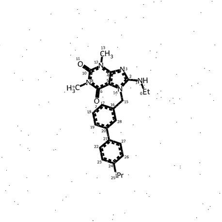 CCNc1nc2c(c(=O)n(C)c(=O)n2C)n1Cc1cccc(-c2ccc(C(C)C)cc2)c1